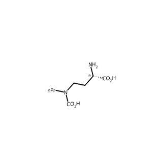 CCCN(CC[C@H](N)C(=O)O)C(=O)O